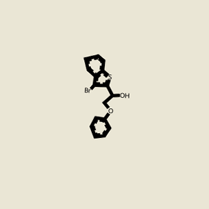 OC(COc1ccccc1)c1sc2ccccc2c1Br